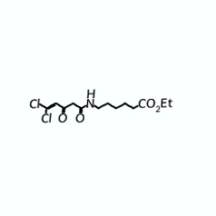 CCOC(=O)CCCCCNC(=O)CC(=O)C=C(Cl)Cl